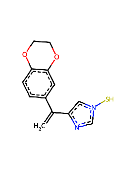 C=C(c1ccc2c(c1)OCCO2)c1cn(S)cn1